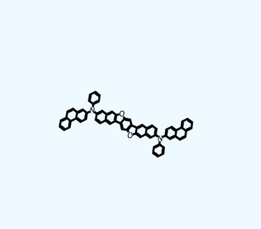 c1ccc(N(c2ccc3cc4c(cc3c2)oc2cc3c(cc24)oc2cc4cc(N(c5ccccc5)c5ccc6c(ccc7ccccc76)c5)ccc4cc23)c2ccc3c(ccc4ccccc43)c2)cc1